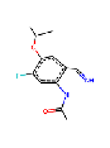 CC(=O)Nc1cc(F)c(OC(C)C)cc1C=N